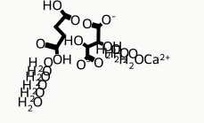 O.O.O.O.O.O.O.O.O.O.O=C(O)CCC(=O)O.O=C([O-])C(O)C(O)C(=O)[O-].[Ca+2]